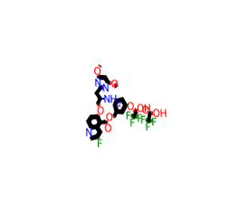 COc1cc(OC)nc(C[C@@H](N)COc2ccc3ncc(F)cc3c2C(=O)OCc2ccccc2)n1.O=C(O)C(F)(F)F.O=C(O)C(F)(F)F